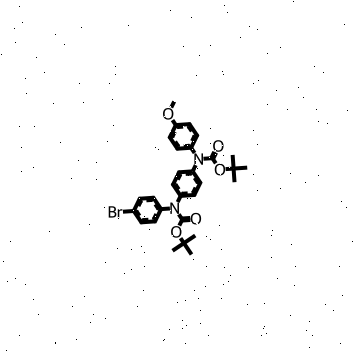 COc1ccc(N(C(=O)OC(C)(C)C)c2ccc(N(C(=O)OC(C)(C)C)c3ccc(Br)cc3)cc2)cc1